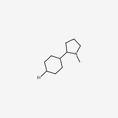 CCC1CCC(C2CCCN2C)CC1